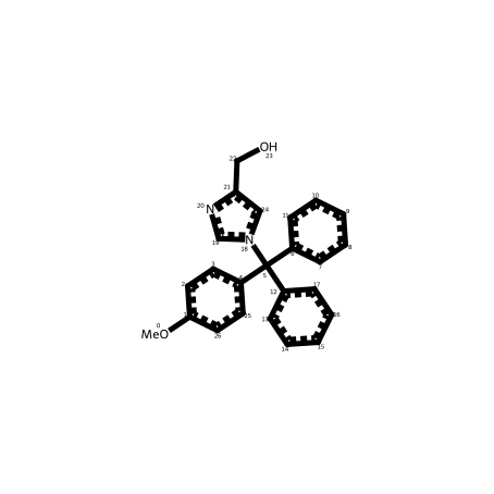 COc1ccc(C(c2ccccc2)(c2ccccc2)n2cnc(CO)c2)cc1